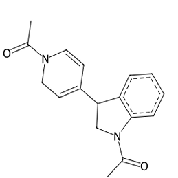 CC(=O)N1C=CC(C2CN(C(C)=O)c3ccccc32)=CC1